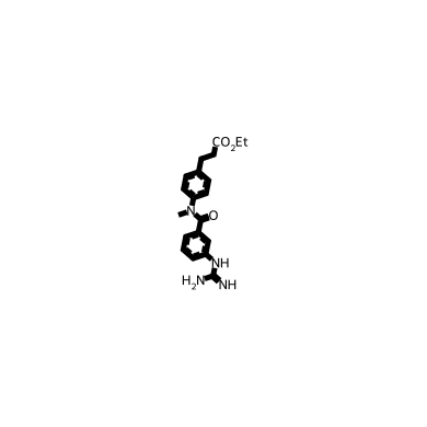 CCOC(=O)CCc1ccc(N(C)C(=O)c2cccc(NC(=N)N)c2)cc1